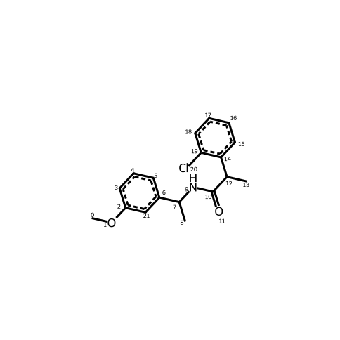 COc1cccc(C(C)NC(=O)C(C)c2ccccc2Cl)c1